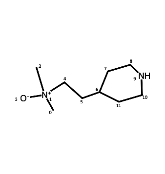 C[N+](C)([O-])CCC1CCNCC1